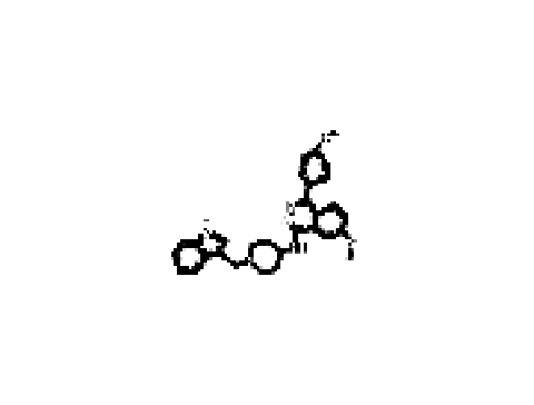 COc1ccc(-c2nnc(NC3CCN(Cc4c[nH]c5ccccc45)CC3)c3cc(OC)ccc23)cc1